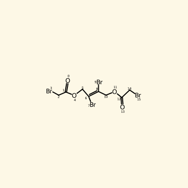 O=C(CBr)OC/C(Br)=C(\Br)COC(=O)CBr